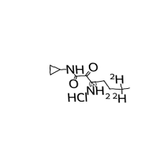 Cl.[2H]C([2H])(C)CC[C@H](N)C(=O)C(=O)NC1CC1